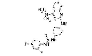 CN(C)c1nc(N[C@H]2CC[C@@H](NC(=O)Nc3ccc(F)cc3F)CC2)nc2ccccc12